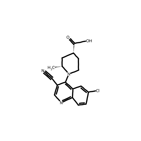 C[C@@H]1C[C@H](C(=O)O)CCN1c1c(C#N)cnc2ccc(Cl)cc12